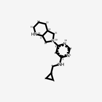 c1nc(NCC2CC2)cc(N2CC3CCCNC3C2)n1